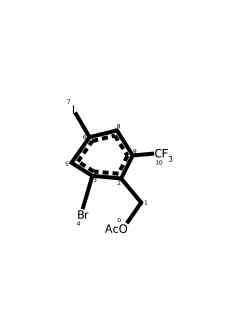 CC(=O)OCc1c(Br)cc(I)cc1C(F)(F)F